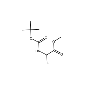 [CH2]C(NC(=O)OC(C)(C)C)C(=O)OC